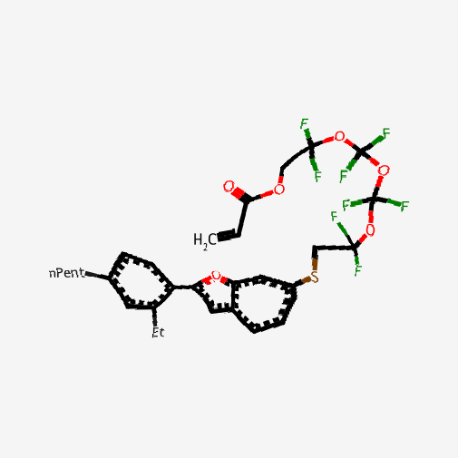 C=CC(=O)OCC(F)(F)OC(F)(F)OC(F)(F)OC(F)(F)CSc1ccc2cc(-c3ccc(CCCCC)cc3CC)oc2c1